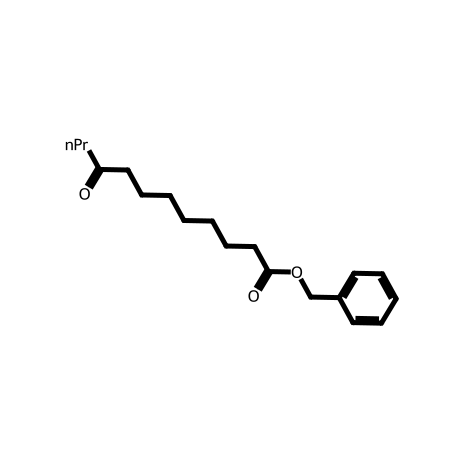 CCCC(=O)CCCCCCCC(=O)OCc1ccccc1